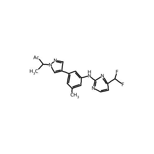 CC(=O)C(C)n1cc(-c2cc(C)cc(Nc3nccc(C(F)F)n3)c2)cn1